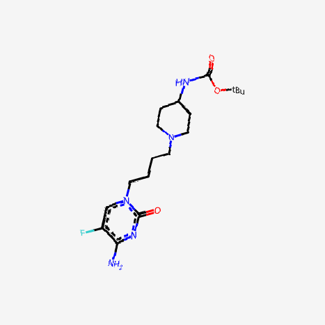 CC(C)(C)OC(=O)NC1CCN(CCCCn2cc(F)c(N)nc2=O)CC1